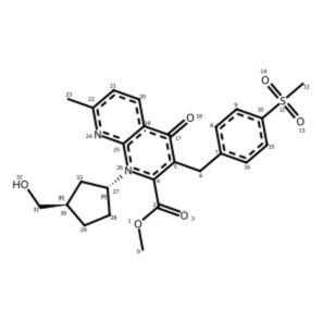 COC(=O)c1c(Cc2ccc(S(C)(=O)=O)cc2)c(=O)c2ccc(C)nc2n1[C@@H]1CC[C@@H](CO)C1